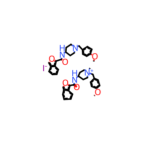 COc1ccc(CN2CCC(NC(=O)c3occ4ccccc34)CC2)cc1.COc1ccc(C[N+]2(C)CCC(NC(=O)c3occ4ccccc34)CC2)cc1.[I-]